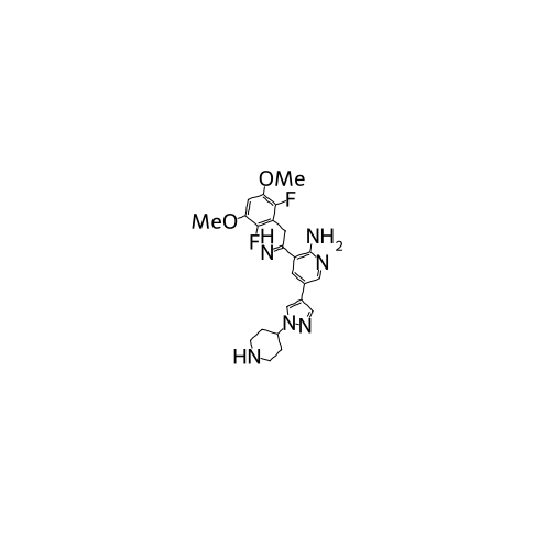 COc1cc(OC)c(F)c(CC(=N)c2cc(-c3cnn(C4CCNCC4)c3)cnc2N)c1F